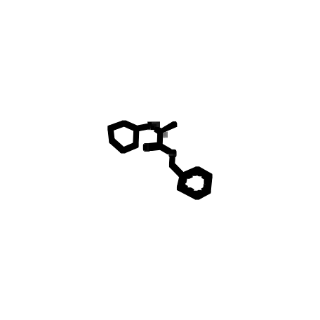 C[C@H](NC1CCCCC1)C(=O)OCc1ccccc1